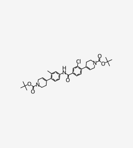 Cc1cc(NC(=O)c2ccc(C3=CCN(C(=O)OC(C)(C)C)CC3)c(Cl)c2)ccc1C1=CCN(C(=O)OC(C)(C)C)CC1